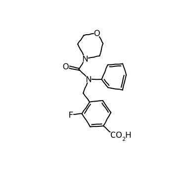 O=C(O)c1ccc(CN(C(=O)N2CCOCC2)c2ccccc2)c(F)c1